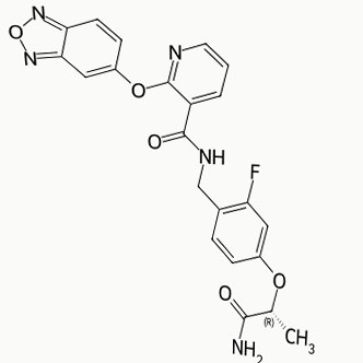 C[C@@H](Oc1ccc(CNC(=O)c2cccnc2Oc2ccc3nonc3c2)c(F)c1)C(N)=O